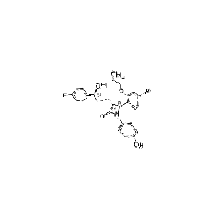 C=CCOc1cc(Br)ccc1[C@@H]1[C@@H](CC[C@H](O)c2ccc(F)cc2)C(=O)N1c1ccc(O)cc1